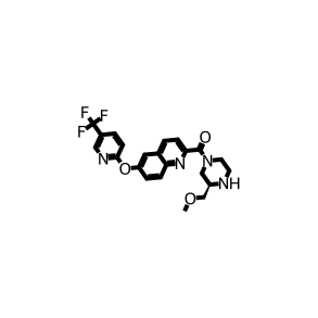 COC[C@H]1CN(C(=O)c2ccc3cc(Oc4ccc(C(F)(F)F)cn4)ccc3n2)CCN1